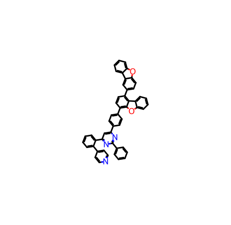 c1ccc(-c2nc(-c3ccc(-c4ccc(-c5ccc6oc7ccccc7c6c5)c5c4oc4ccccc45)cc3)cc(-c3ccccc3-c3ccncc3)n2)cc1